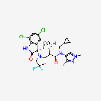 Cc1nn(C)cc1N(CC1CC1)C(=O)[C@H](C)[C@H]1CC(F)(F)CN1[C@@]1(CC(=O)O)C(=O)Nc2c(Cl)cc(Cl)cc21